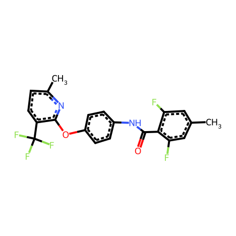 Cc1cc(F)c(C(=O)Nc2ccc(Oc3nc(C)ccc3C(F)(F)F)cc2)c(F)c1